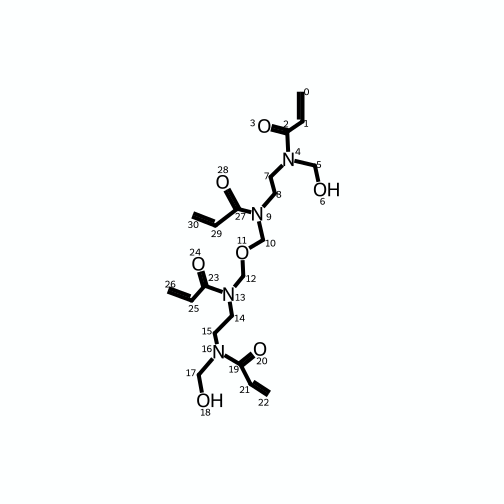 C=CC(=O)N(CO)CCN(COCN(CCN(CO)C(=O)C=C)C(=O)C=C)C(=O)C=C